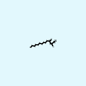 CCCCCCCCCCC(C)CC(C)C#N